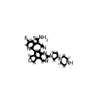 N#Cc1c(N)sc2c(F)cnc(-c3c4c(c5cnc(N6CC[C@H](N7CCNCC7)C6)nc5c3F)COC4)c12